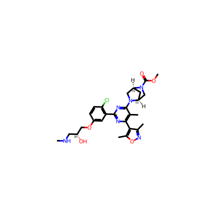 CNC[C@@H](O)COc1ccc(Cl)c(-c2nc(-c3c(C)noc3C)c(C)c(N3C[C@@H]4C[C@H]3CN4C(=O)OC)n2)c1